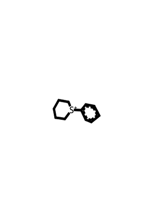 c1ccc([S+]2CCCCC2)cc1